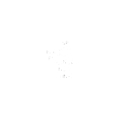 O=c1c2cc[nH]c2nc(SCC(F)(F)F)n1-c1ccc(O)cc1